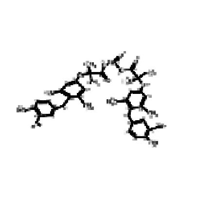 Cc1cc(OC(C)(C)C(=O)O[PH](=O)OC(=O)C(C)(C)Oc2cc(C)c(Cc3ccc(O)c(C(C)C)c3)c(C)c2)cc(C)c1Cc1ccc(O)c(C(C)C)c1